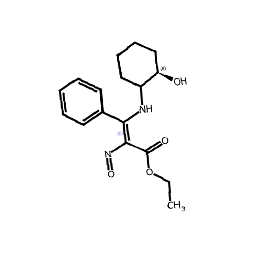 CCOC(=O)/C(N=O)=C(\NC1CCCC[C@H]1O)c1ccccc1